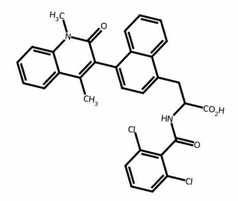 Cc1c(-c2ccc(CC(NC(=O)c3c(Cl)cccc3Cl)C(=O)O)c3ccccc23)c(=O)n(C)c2ccccc12